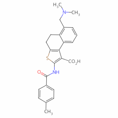 Cc1ccc(C(=O)Nc2sc3c(c2C(=O)O)-c2cccc(CN(C)C)c2CC3)cc1